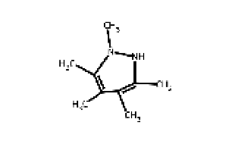 CC1=C(C)C(C)=C(C)N(C)N1